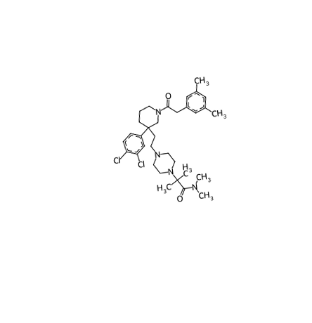 Cc1cc(C)cc(CC(=O)N2CCCC(CCN3CCN(C(C)(C)C(=O)N(C)C)CC3)(c3ccc(Cl)c(Cl)c3)C2)c1